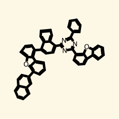 c1ccc(-c2nc(-c3ccc(-c4cccc5oc6c(-c7ccc8ccccc8c7)cccc6c45)c4ccccc34)nc(-c3cccc4c3oc3ccccc34)n2)cc1